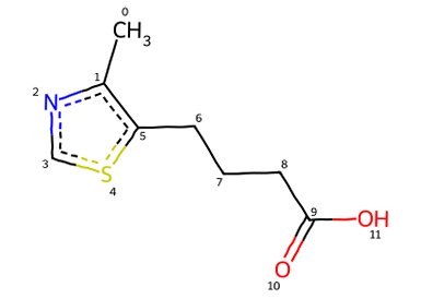 Cc1ncsc1CCCC(=O)O